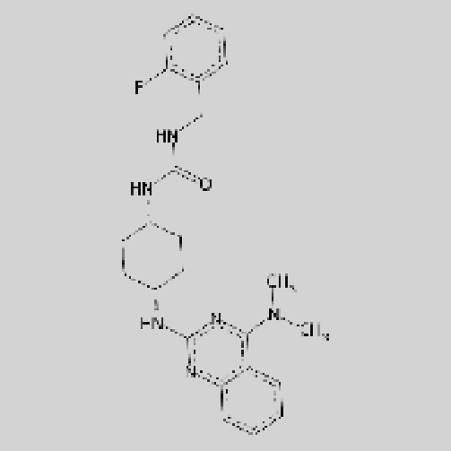 CN(C)c1nc(N[C@H]2CC[C@@H](NC(=O)NCc3ccccc3F)CC2)nc2ccccc12